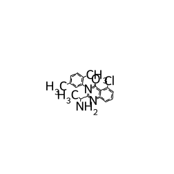 Cc1ccc(C)c(-n2c(C(C)N)nc3cccc(Cl)c3c2=O)c1